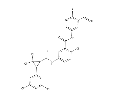 C=Cc1cc(NC(=O)c2cc(NC(=O)C3C(c4cc(Cl)cc(Cl)c4)C3(Cl)Cl)ccc2Cl)cnc1F